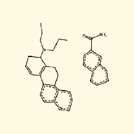 CCCN(CCC)C1CC=CC2=C1CCc1c2ccc2ccccc12.NC(=O)c1ccc2ccccc2c1